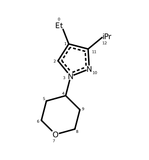 CCc1cn(C2CCOCC2)nc1C(C)C